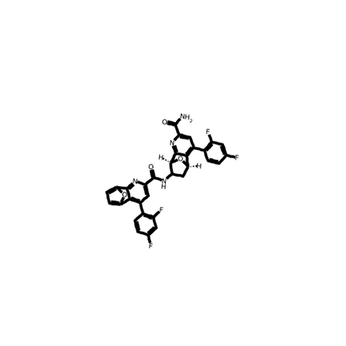 NC(=O)c1cc(-c2ccc(F)cc2F)c2c(n1)[C@H]1O[C@@H]2CC1NC(=O)c1cc(-c2ccc(F)cc2F)c2c3ccc(o3)c2n1